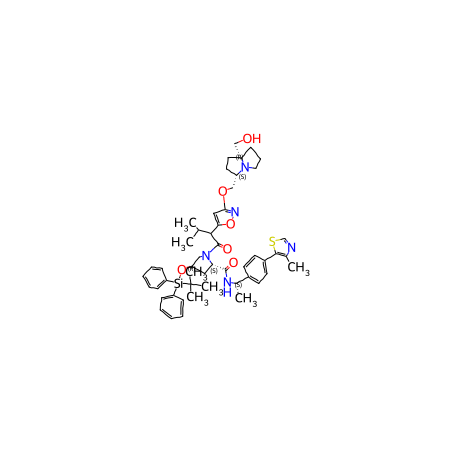 Cc1ncsc1-c1ccc([C@H](C)NC(=O)[C@@H]2C[C@@H](O[Si](c3ccccc3)(c3ccccc3)C(C)(C)C)CN2C(=O)C(c2cc(OC[C@@H]3CC[C@@]4(CO)CCCN34)no2)C(C)C)cc1